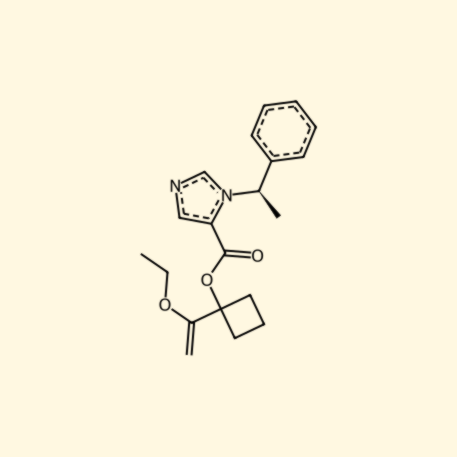 C=C(OCC)C1(OC(=O)c2cncn2[C@H](C)c2ccccc2)CCC1